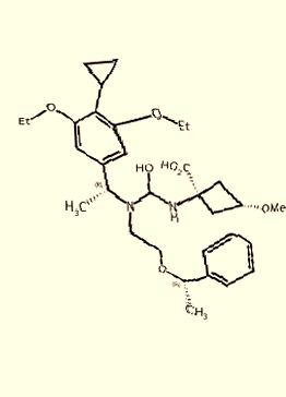 CCOc1cc([C@@H](C)N(CCO[C@@H](C)c2ccccc2)C(O)N[C@]2(C(=O)O)C[C@@H](OC)C2)cc(OCC)c1C1CC1